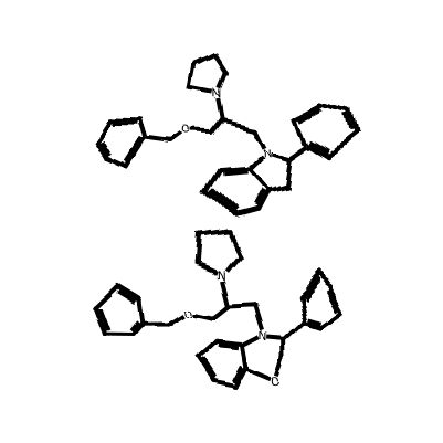 c1ccc(COCC(CN2c3ccccc3CC2c2ccccc2)N2CCCC2)cc1.c1ccc(COCC(CN2c3ccccc3OCC2c2ccccc2)N2CCCC2)cc1